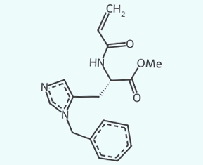 C=CC(=O)N[C@@H](Cc1cncn1Cc1ccccc1)C(=O)OC